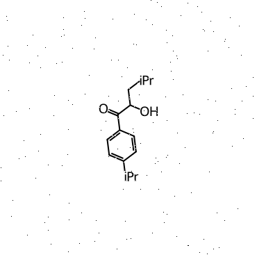 CC(C)CC(O)C(=O)c1ccc(C(C)C)cc1